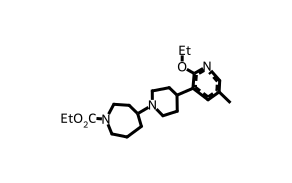 CCOC(=O)N1CCCC(N2CCC(c3cc(C)cnc3OCC)CC2)CC1